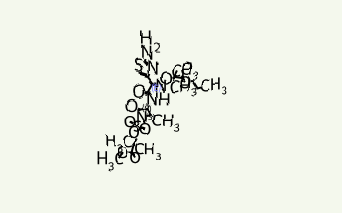 CCCOC(=O)C(C)(C)O/N=C(/C(=O)N[C@@H]1C(=O)N(S(=O)(=O)OCC(C)(C)C(=O)OC)[C@H]1C)c1csc(N)n1